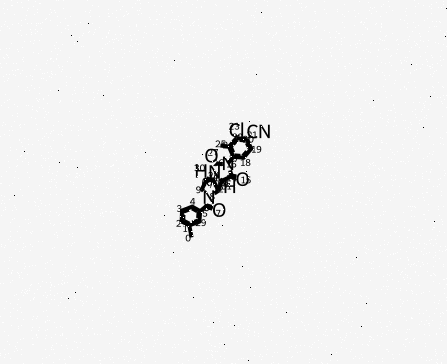 Cc1cccc(C(=O)N2C[C@H]3CC2[C@H]2C(=O)N(c4ccc(C#N)c(Cl)c4C)C(=O)N32)c1